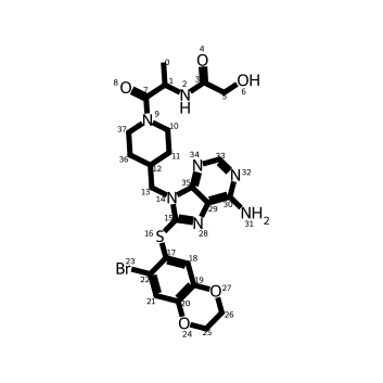 CC(NC(=O)CO)C(=O)N1CCC(Cn2c(Sc3cc4c(cc3Br)OCCO4)nc3c(N)ncnc32)CC1